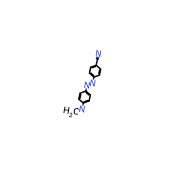 C=Nc1ccc(/N=N/c2ccc(C#N)cc2)cc1